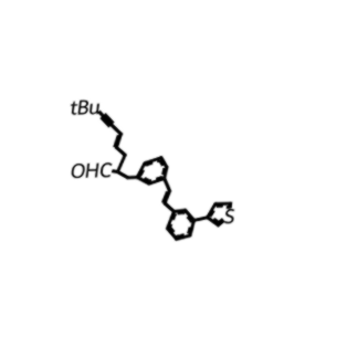 CC(C)(C)C#CC=CCC(C=O)Cc1cccc(C=Cc2cccc(-c3ccsc3)c2)c1